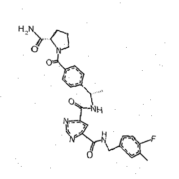 Cc1cc(CNC(=O)c2cc(C(=O)N[C@@H](C)c3ccc(C(=O)N4CCC[C@H]4C(N)=O)cc3)ncn2)ccc1F